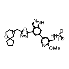 COc1ncc(-c2cc(-c3nnc(CN4CCOC5(CCCC5)C4)o3)c3cn[nH]c3c2)cc1CN[SH](=O)=O